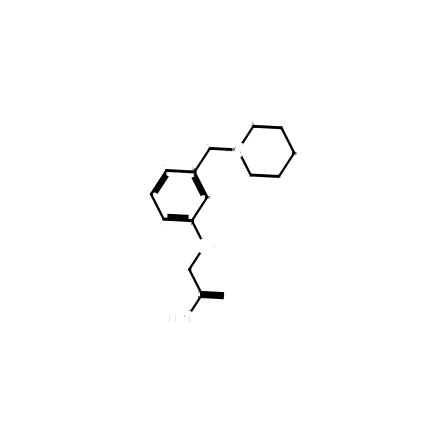 NC(=O)COc1cccc(CN2CCCCC2)c1